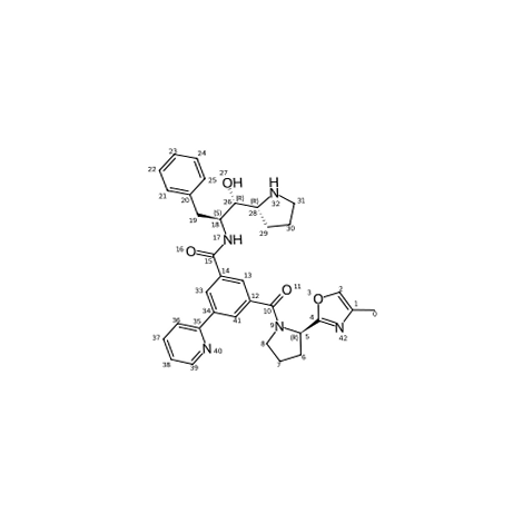 Cc1coc([C@H]2CCCN2C(=O)c2cc(C(=O)N[C@@H](Cc3ccccc3)[C@H](O)[C@H]3CCCN3)cc(-c3ccccn3)c2)n1